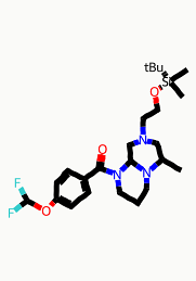 CC1CN(CCO[Si](C)(C)C(C)(C)C)CC2N(C(=O)c3ccc(OC(F)F)cc3)CCCN12